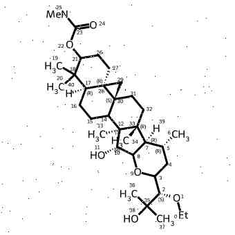 CCO[C@@H](C1C[C@@H](C)[C@H]2C(O1)[C@H](O)[C@@]1(C)C3CC[C@H]4C(C)(C)C(OC(=O)NC)CC[C@@]45C[C@@]35CC[C@]21C)C(C)(C)O